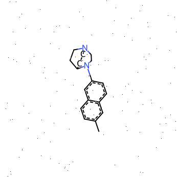 Cc1ccc2cc(N3CCN4CCC3CC4)ccc2c1